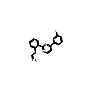 C=CCc1ccccc1-c1nccc(-c2cccc(O)c2)n1